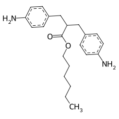 CCCCCCOC(=O)C(Cc1ccc(N)cc1)Cc1ccc(N)cc1